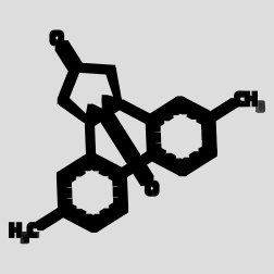 Cc1ccc2c(c1)[C@]13CC(=O)C[C@]1(CC(=O)C3)c1cc(C)ccc1-2